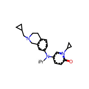 CC(C)N(c1ccc2c(c1)CN(CC1CC1)CC2)c1ccc(=O)n(C2CC2)c1